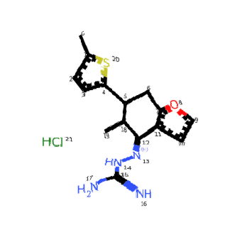 Cc1ccc(C2Cc3occc3/C(=N/NC(=N)N)C2C)s1.Cl